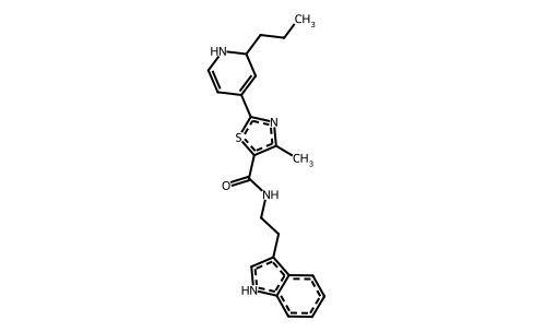 CCCC1C=C(c2nc(C)c(C(=O)NCCc3c[nH]c4ccccc34)s2)C=CN1